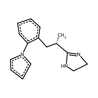 C[C@@H](Cc1ccccc1-n1cccc1)C1=NCCN1